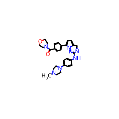 CN1CCN(c2ccc(Nc3ncc4ccc(-c5ccc(C(=O)N6CCOCC6)cc5)n4n3)cc2)CC1